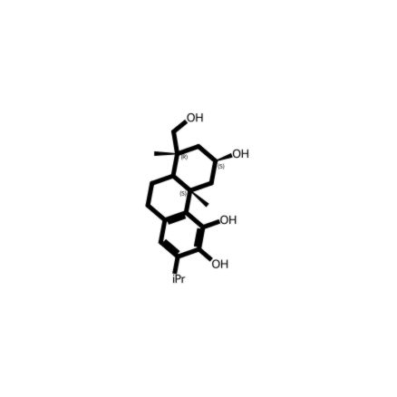 CC(C)c1cc2c(c(O)c1O)[C@@]1(C)C[C@H](O)C[C@@](C)(CO)C1CC2